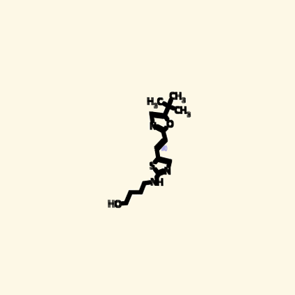 CC(C)(C)c1cnc(/C=C/c2cnc(NCCCCO)s2)o1